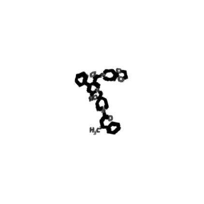 C[C@H](CC(=O)N1CCC(O)(Cn2cc(C(=O)N3CCC4(CC3)OCCO4)c(-c3ccccc3)cc2=O)CC1)c1ccccc1